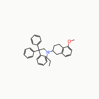 CCCN(CC(c1ccccc1)(c1ccccc1)c1ccccc1)C1CCc2c(cccc2OC)C1